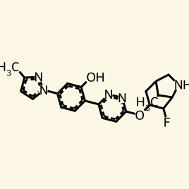 Cc1ccn(-c2ccc(-c3ccc(OC4CC5CNC(C5C)C4F)nn3)c(O)c2)n1